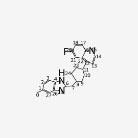 Cc1ccc2[nH]c(CC3CCC(c4ccnc5ccc(F)cc45)CC3)nc2c1